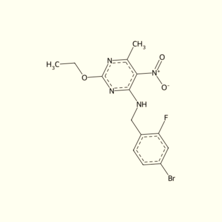 CCOc1nc(C)c([N+](=O)[O-])c(NCc2ccc(Br)cc2F)n1